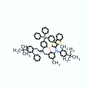 Cc1cc2c3c(c1)N(c1ccc(C(C)(C)C)cc1C)c1c(sc4c1sc1ccccc14)B3c1cc([Si](c3ccccc3)(c3ccccc3)c3ccccc3)ccc1/C(=C\Cc1ccc(C(C)(C)C)cc1-c1ccccc1)C2